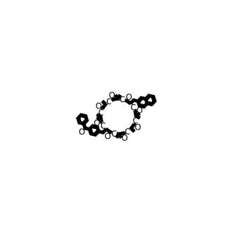 CC1CC(=O)C(C)(C)CC(=O)C(Cc2ccc(C(=O)c3ccccc3)cc2)CC(=O)C(C)(C)CC(=O)C(C)CC(=O)C(C)(C)CC(=O)C(Cc2ccc3ccccc3c2)CC(=O)C(C)(C)CC1=O